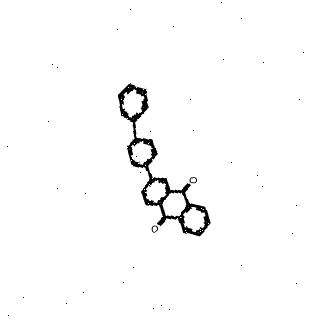 O=C1c2ccccc2C(=O)c2cc(-c3ccc(-c4ccccc4)cc3)ccc21